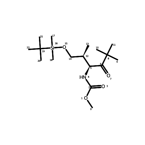 COC(=O)N[C@H](C(=O)C(C)(C)C)[C@H](C)CO[Si](C)(C)C(C)(C)C